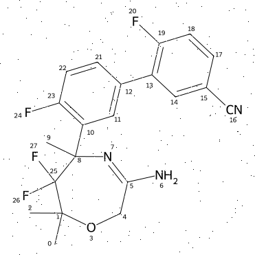 CC1(C)OCC(N)=NC(C)(c2cc(-c3cc(C#N)ccc3F)ccc2F)C1(F)F